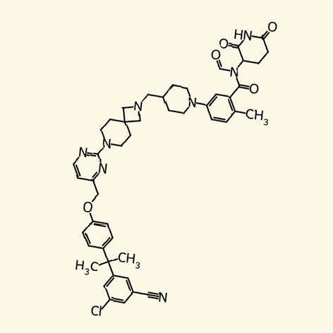 Cc1ccc(N2CCC(CN3CC4(CCN(c5nccc(COc6ccc(C(C)(C)c7cc(Cl)cc(C#N)c7)cc6)n5)CC4)C3)CC2)cc1C(=O)N(C=O)C1CCC(=O)NC1=O